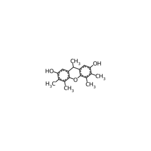 Cc1c(O)cc2c(c1C)Oc1c(cc(O)c(C)c1C)C2C